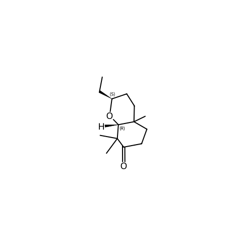 CC[C@H]1CCC2(C)CCC(=O)C(C)(C)[C@@H]2O1